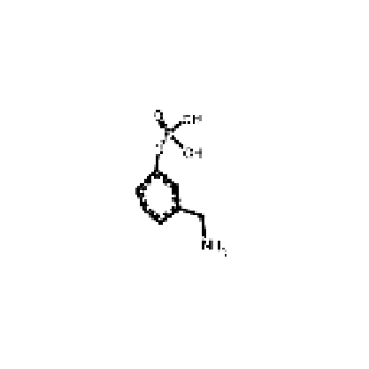 NCc1cccc(OP(=O)(O)O)c1